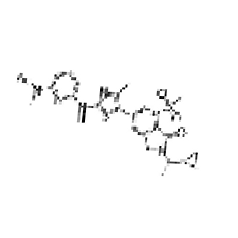 CC(=O)N(C)c1cccc(Nc2nc(C)c(-c3cc4c(c(S(C)(=O)=O)c3)C(=O)N([C@@H](C)C3CC3)C4)s2)n1